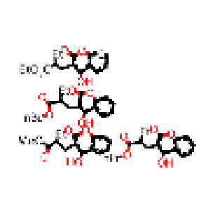 CCC(Cc1c(O)c2ccccc2oc1=O)C(=O)OC.CCCCOC(=O)C(CC)Cc1c(O)c2ccccc2oc1=O.CCCOC(=O)C(CC)Cc1c(O)c2ccccc2oc1=O.CCOC(=O)C(CC)Cc1c(O)c2ccccc2oc1=O